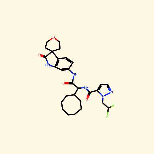 O=C(NC(C(=O)Nc1ccc2c(c1)NC(=O)C21CCOCC1)C1CCCCCCC1)c1ccnn1CC(F)F